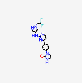 O=C1NCCN1c1ccc(-c2ccnc(Nc3cnn(CC(F)F)c3)n2)cc1